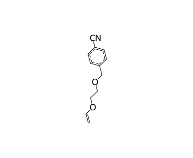 C=COCCOCc1ccc(C#N)cc1